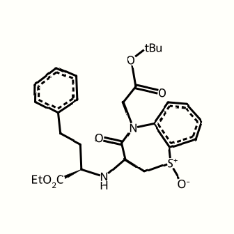 CCOC(=O)[C@@H](CCc1ccccc1)NC1C[S+]([O-])c2ccccc2N(CC(=O)OC(C)(C)C)C1=O